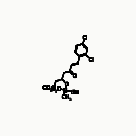 CC(C)(C)[Si](C)(C)O[C@@H](CC(=O)O)CC(=O)/C=C/c1ccc(Cl)cc1Cl